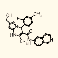 CC1=C(C(=O)Nc2ccc3cnccc3c2)C(c2ccc(C)cc2F)n2nc(CO)cc2N1